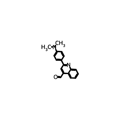 CN(C)c1ccc(-c2cc(C=O)c3ccccc3n2)cc1